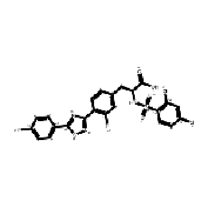 O=C(O)C(Cc1ccc(-c2noc(-c3ccc(F)cc3)n2)c(F)c1)NS(=O)(=O)c1ccc(Cl)cc1Cl